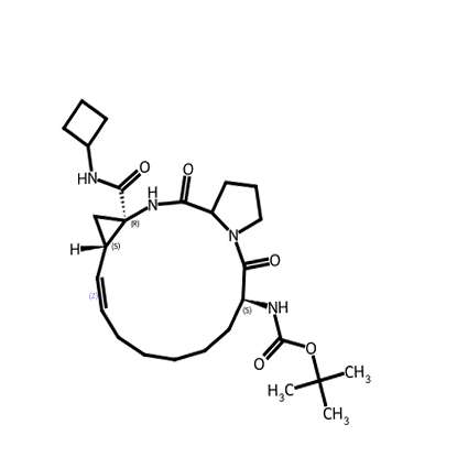 CC(C)(C)OC(=O)N[C@H]1CCCCC/C=C\[C@@H]2C[C@@]2(C(=O)NC2CCC2)NC(=O)C2CCCN2C1=O